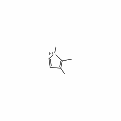 CC1=[C](C)[SnH]([CH3])[CH]=C1